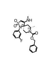 CNC1=CS(=O)(=O)N(c2cccc(F)c2)[C@@]12CCN(C(=O)OCc1ccccc1)[C@@H](C)C2